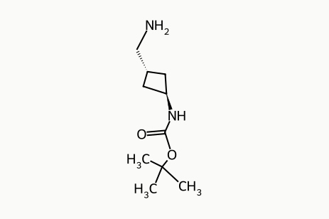 CC(C)(C)OC(=O)N[C@H]1C[C@H](CN)C1